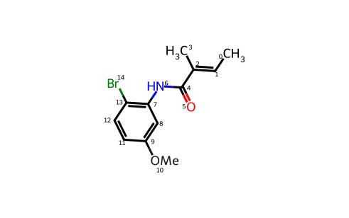 C/C=C(\C)C(=O)Nc1cc(OC)ccc1Br